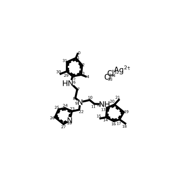 Cc1cc(C)c(NCCN(CCNc2c(C)cc(C)cc2C)Cc2ccccn2)c(C)c1.[Ag+2].[Cl-].[Cl-]